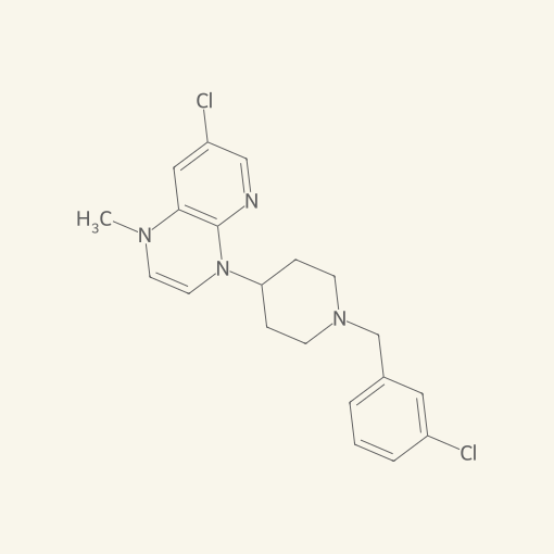 CN1C=CN(C2CCN(Cc3cccc(Cl)c3)CC2)c2ncc(Cl)cc21